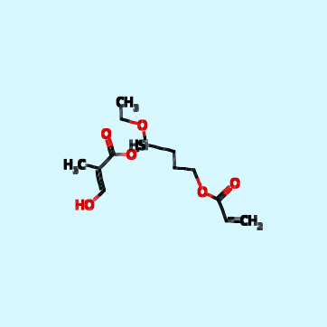 C=CC(=O)OCCC[SiH](OCC)OC(=O)C(C)=CO